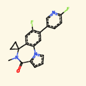 CN1C(=O)c2cccn2-c2cc(-c3ccc(F)nc3)c(F)cc2C12CC2